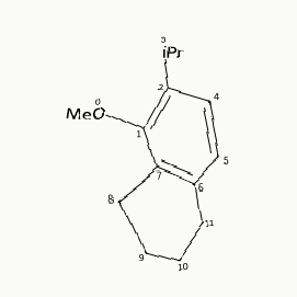 COc1c(C(C)C)ccc2c1CCCC2